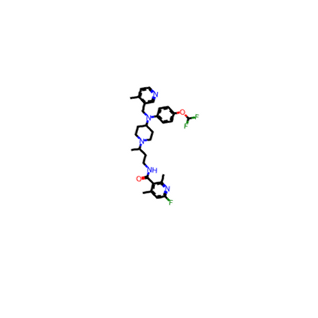 Cc1ccncc1CN(c1ccc(OC(F)F)cc1)C1CCN(C(C)CCNC(=O)c2c(C)cc(F)nc2C)CC1